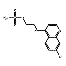 CS(=O)(=O)OCCNc1ccnc2cc(Cl)ccc12